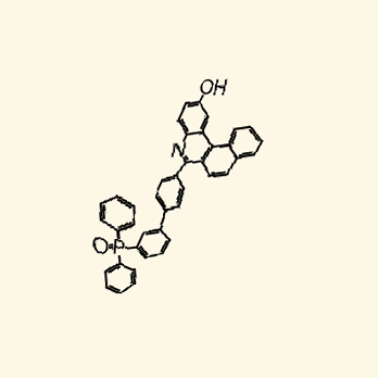 O=P(c1ccccc1)(c1ccccc1)c1cccc(-c2ccc(-c3nc4ccc(O)cc4c4c3ccc3ccccc34)cc2)c1